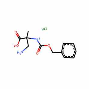 CC(CN)(NC(=O)OCc1ccccc1)C(=O)O.Cl